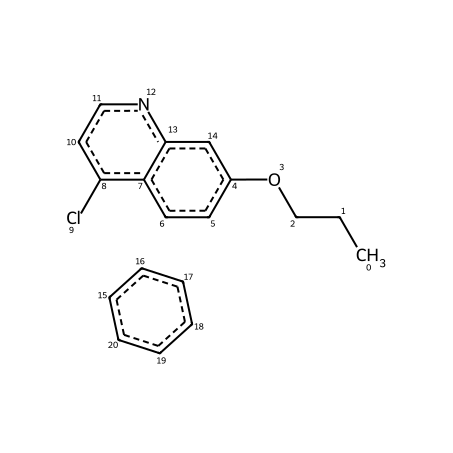 CCCOc1ccc2c(Cl)ccnc2c1.c1ccccc1